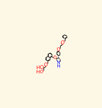 OC[C@H](O)COCc1ccc2cccc(CO[C@H]3CNCC[C@@H]3c3ccc(OCCCOCc4ccccc4)cc3)c2c1